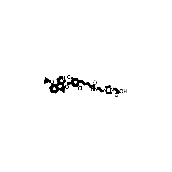 O=C(O)CN1CCN(CCNC(=O)CCCCc2cc(Cl)c(COC3(c4cnccc4-c4ccccc4OC4CC4)CC3)cc2Cl)CC1